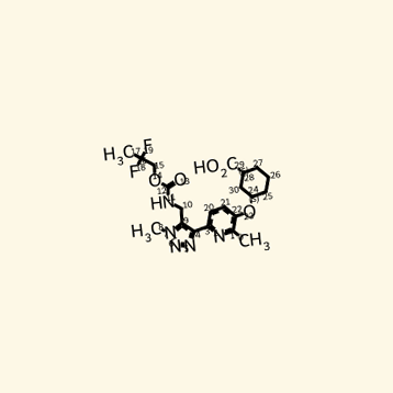 Cc1nc(-c2nnn(C)c2CNC(=O)OCC(C)(F)F)ccc1O[C@H]1CCC[C@H](C(=O)O)C1